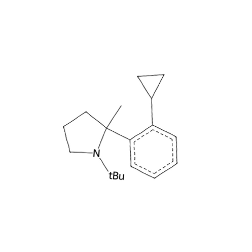 CC(C)(C)N1CCCC1(C)c1ccccc1C1CC1